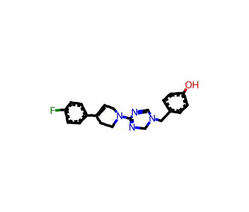 Oc1ccc(CN2C=NC(N3CC=C(c4ccc(F)cc4)CC3)=NC2)cc1